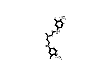 Cc1cc(NCCN(C)CCNc2ccc([N+](=O)[O-])c(C)c2)ccc1[N+](=O)[O-]